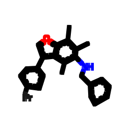 Cc1c(NCc2ccccc2)c(C)c2c(-c3ccc(C(C)C)cc3)coc2c1C